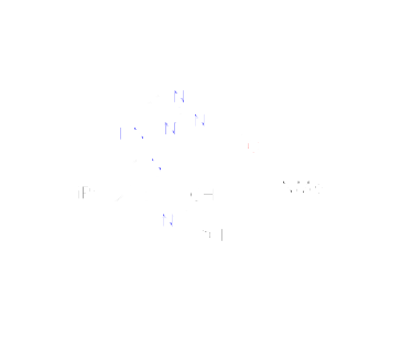 CNCCOC1CCN(c2nccc(Nc3cc4c(C(C)C)ccc(N5C[C@H](C)[C@H]5C)c4cn3)n2)CC1